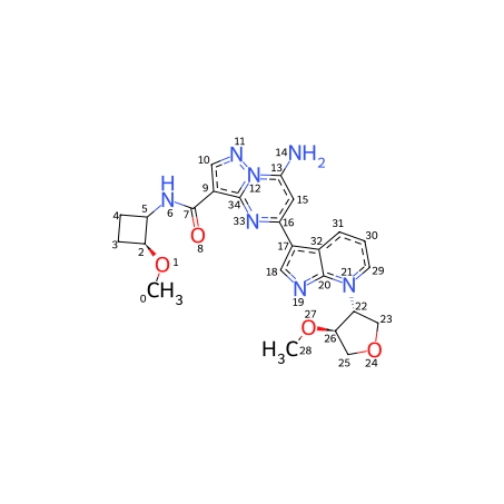 CO[C@H]1CCC1NC(=O)c1cnn2c(N)cc(-c3cnc4n([C@@H]5COC[C@H]5OC)cccc3-4)nc12